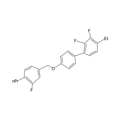 CCCc1ccc(COc2ccc(-c3ccc(CC)c(F)c3F)cc2)cc1F